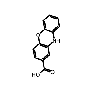 O=C(O)c1ccc2c(c1)Nc1ccccc1O2